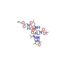 C=CCOC(=O)CNC(=O)C(O)C(CCC)NC(=O)C1CN(C(=O)OC(C)(C)C)CCN1C(=O)[C@@H](NC[C@@H](NC(C)=O)C(C)C)C(C)C